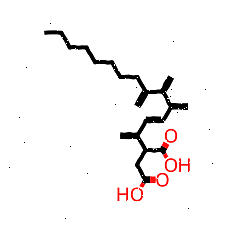 C=C(/C=C/C(=C)C(CC(=O)O)C(=O)O)C(=C)C(=C)CCCCCCCC